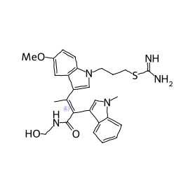 COc1ccc2c(c1)c(/C(C)=C(/C(=O)NCO)c1cn(C)c3ccccc13)cn2CCCSC(=N)N